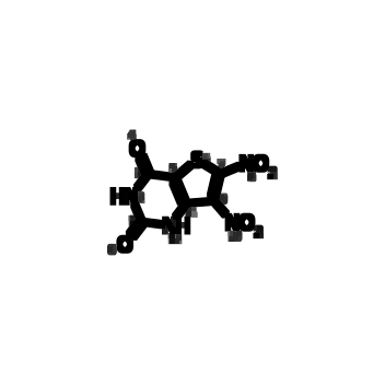 O=c1[nH]c(=O)c2sc([N+](=O)[O-])c([N+](=O)[O-])c2[nH]1